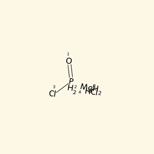 Cl.O=[PH2]Cl.[MgH2]